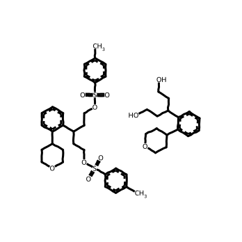 Cc1ccc(S(=O)(=O)OCCC(CCOS(=O)(=O)c2ccc(C)cc2)c2ccccc2C2CCOCC2)cc1.OCCC(CCO)c1ccccc1C1CCOCC1